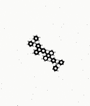 c1ccc(N(c2ccccc2)c2ccc(-c3c4c(c(-c5ccc6c7ccc(N(c8ccccc8)c8ccccc8)cc7c7ccccc7c6c5)c5c3CCCC5)CCCC4)cc2)cc1